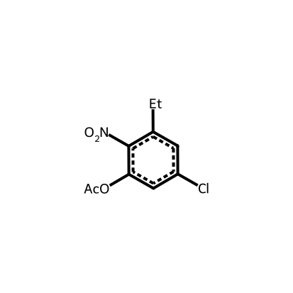 CCc1cc(Cl)cc(OC(C)=O)c1[N+](=O)[O-]